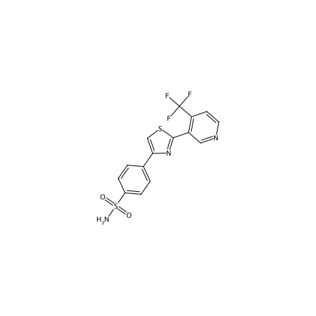 NS(=O)(=O)c1ccc(-c2csc(-c3cnccc3C(F)(F)F)n2)cc1